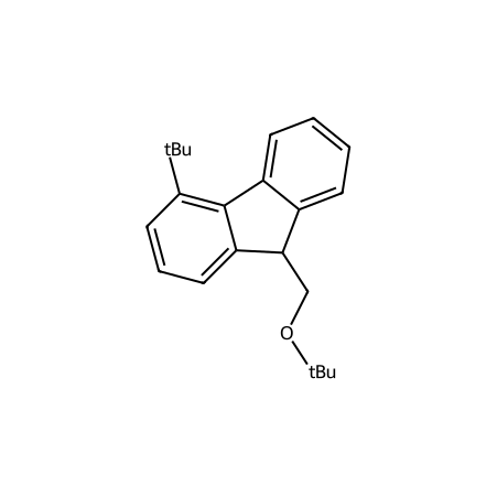 CC(C)(C)OCC1c2ccccc2-c2c1cccc2C(C)(C)C